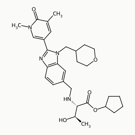 Cc1cc(-c2nc3ccc(CN[C@H](C(=O)OC4CCCC4)[C@@H](C)O)cc3n2CC2CCOCC2)cn(C)c1=O